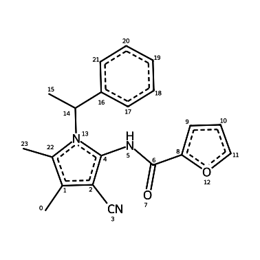 Cc1c(C#N)c(NC(=O)c2ccco2)n(C(C)c2ccccc2)c1C